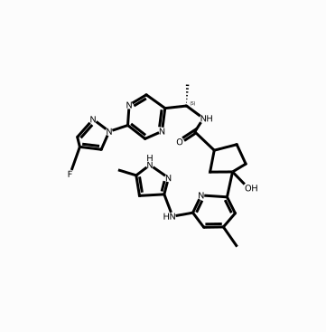 Cc1cc(Nc2cc(C)[nH]n2)nc(C2(O)CCC(C(=O)N[C@@H](C)c3cnc(-n4cc(F)cn4)cn3)C2)c1